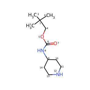 CC(C)(C)COC(=O)NC1CCNCC1